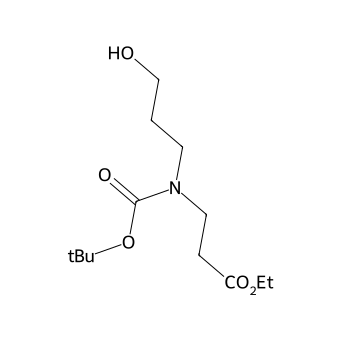 CCOC(=O)CCN(CCCO)C(=O)OC(C)(C)C